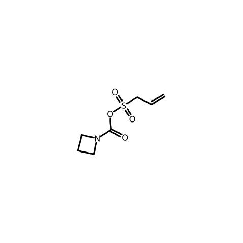 C=CCS(=O)(=O)OC(=O)N1CCC1